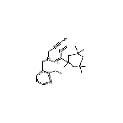 C=N/C(=C\N(CC#CF)Cc1cccnc1CC)C1(C)CC(C)(C)CC(C)(C)C1